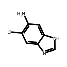 Nc1cc2[nH]cnc2cc1Cl